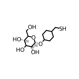 OCC1O[C@H](OC2CCC(CS)CC2)[C@H](O)C(O)[C@@H]1O